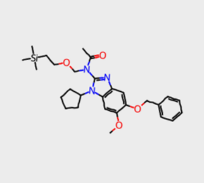 COc1cc2c(cc1OCc1ccccc1)nc(N(COCC[Si](C)(C)C)C(C)=O)n2C1CCCC1